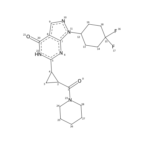 O=C(C1CC1c1nc2c(cnn2C2CCC(F)(F)CC2)c(=O)[nH]1)N1CCCCC1